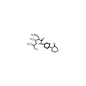 CC(C)CN(C)[C@@H](CN)C(=O)Nc1ccc(N2CCOCC2=O)cc1